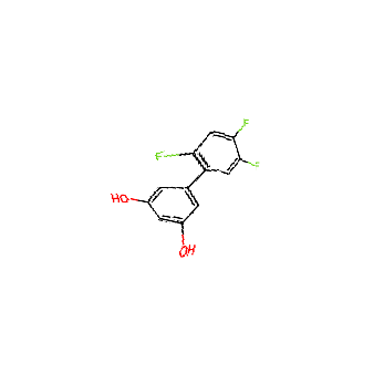 Oc1cc(O)cc(-c2cc(F)c(F)cc2F)c1